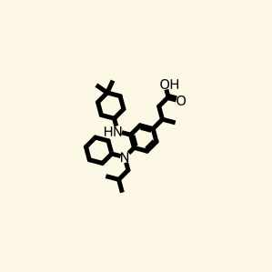 CC(C)CN(c1ccc(C(C)CC(=O)O)cc1NC1CCC(C)(C)CC1)C1CCCCC1